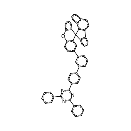 c1ccc(-c2nc(-c3ccccc3)nc(-c3ccc(-c4cccc(-c5ccc6c(c5)C5(c7ccccc7O6)c6ccccc6-c6ccc7ccccc7c65)c4)cc3)n2)cc1